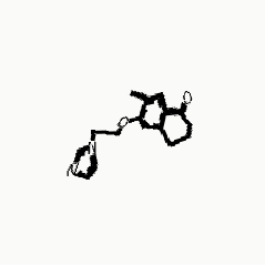 Cc1cc2c(cc1OCCn1ccnc1)CCCC2=O